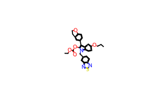 CCCOc1ccc2c(c1)c(-c1ccc3c(c1)CCO3)c(OC(=O)OCC)n2Cc1ccc2nsnc2c1